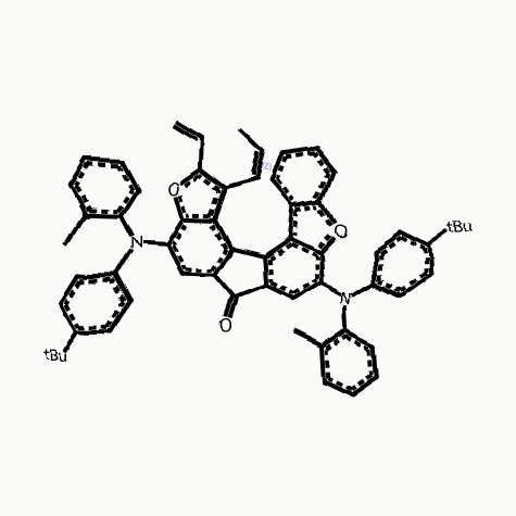 C=Cc1oc2c(N(c3ccc(C(C)(C)C)cc3)c3ccccc3C)cc3c(c2c1/C=C\C)-c1c(cc(N(c2ccc(C(C)(C)C)cc2)c2ccccc2C)c2oc4ccccc4c12)C3=O